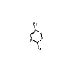 CCc1ccc(Br)nc1